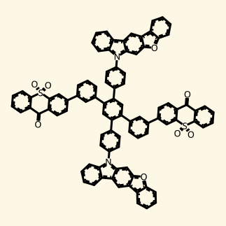 O=C1c2ccccc2S(=O)(=O)c2cc(-c3cccc(-c4cc(-c5ccc(-n6c7ccccc7c7cc8c(cc76)oc6ccccc68)cc5)c(-c5cccc(-c6ccc7c(c6)S(=O)(=O)c6ccccc6C7=O)c5)cc4-c4ccc(-n5c6ccccc6c6cc7c(cc65)oc5ccccc57)cc4)c3)ccc21